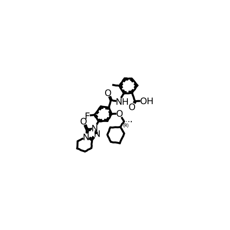 Cc1cccc(C(=O)O)c1NC(=O)c1cc(F)c(-n2nc3n(c2=O)CCCC3)cc1O[C@H](C)C1CCCCC1